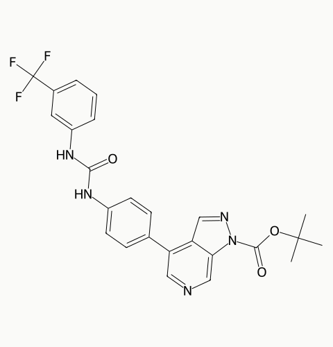 CC(C)(C)OC(=O)n1ncc2c(-c3ccc(NC(=O)Nc4cccc(C(F)(F)F)c4)cc3)cncc21